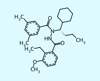 CCC[C@@H](C1CCCCC1)N(NC(=O)c1cccc(OC)c1CC)C(=O)c1cc(C)cc(C)c1